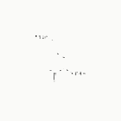 CNCCCC(NC)C(=O)I